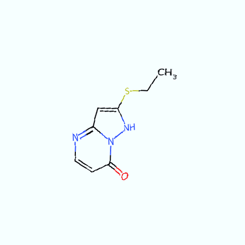 CCSc1cc2nccc(=O)n2[nH]1